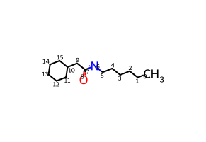 CCCCCC[N]C(=O)CC1CCCCC1